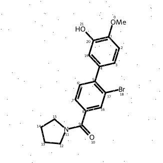 COc1ccc(-c2ccc(C(=O)N3CCCC3)cc2Br)cc1O